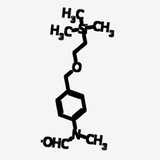 CN([C]=O)c1ccc(COCC[Si](C)(C)C)cc1